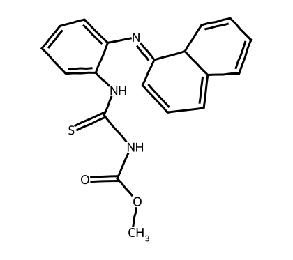 COC(=O)NC(=S)Nc1ccccc1N=C1C=CC=C2C=CC=CC21